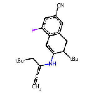 C=C=C(CC(C)(C)C)NC1=Cc2c(I)cc(C#N)cc2CC1C(C)(C)C